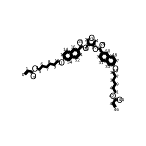 C=CC(=O)OCCCCCCOc1ccc2cc(C(=O)O[C@H]3COC[C@@H]3OC(=O)c3ccc4cc(OCCCCCCOC(=O)C=C)ccc4c3)ccc2c1